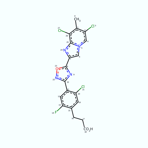 Cc1c(Cl)cn2cc(-c3nc(-c4cc(F)c(CCC(=O)O)cc4Cl)no3)nc2c1Cl